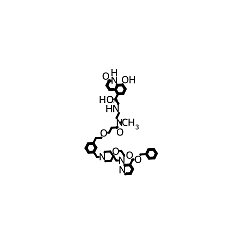 CN(CCNC[C@H](O)c1ccc(O)c2[nH]c(=O)ccc12)C(=O)CCOCCc1cccc(CN2CCC3(CC2)CN(c2ncccc2C(=O)OCc2ccccc2)CCO3)c1